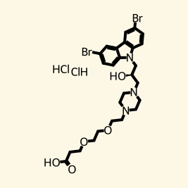 Cl.Cl.O=C(O)CCOCCOCCN1CCN(C[C@@H](O)Cn2c3ccc(Br)cc3c3cc(Br)ccc32)CC1